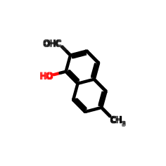 Cc1ccc2c(O)c(C=O)ccc2c1